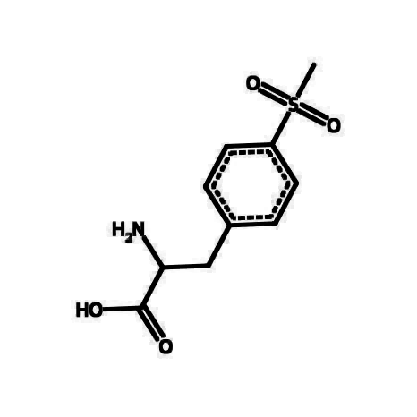 CS(=O)(=O)c1ccc(CC(N)C(=O)O)cc1